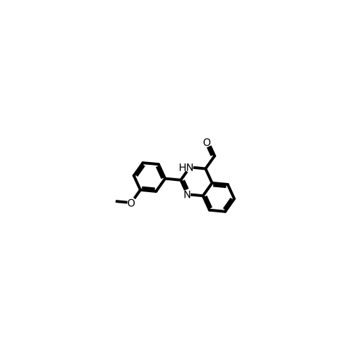 COc1cccc(C2=Nc3ccccc3C(C=O)N2)c1